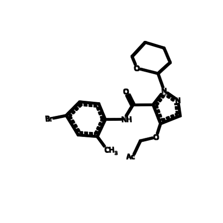 CC(=O)COc1cnn(C2CCCCO2)c1C(=O)Nc1ccc(Br)cc1C